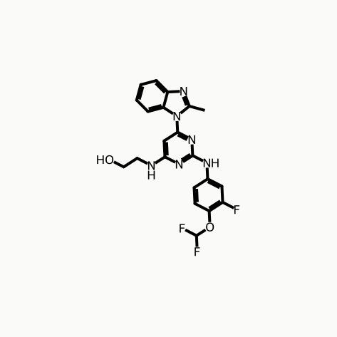 Cc1nc2ccccc2n1-c1cc(NCCO)nc(Nc2ccc(OC(F)F)c(F)c2)n1